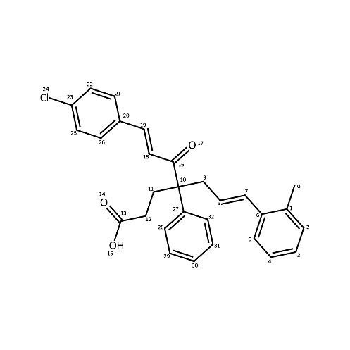 Cc1ccccc1C=CCC(CCC(=O)O)(C(=O)C=Cc1ccc(Cl)cc1)c1ccccc1